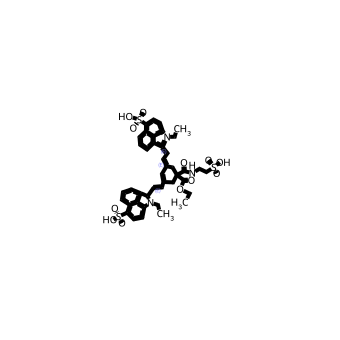 CCOC(=O)C1(C(=O)NCCS(=O)(=O)O)CC(/C=C/C2c3cccc4c(S(=O)(=O)O)ccc(c34)N2CC)=CC(=C/C=c2\c3cccc4c(S(=O)(=O)O)ccc(c43)n2CC)/C1